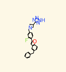 Fc1cc(CN2CC(c3nn[nH]n3)C2)ccc1-c1cc2cc(Cc3ccccc3)ccc2o1